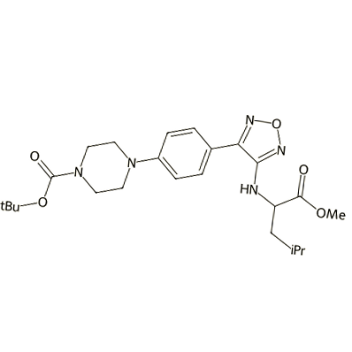 COC(=O)C(CC(C)C)Nc1nonc1-c1ccc(N2CCN(C(=O)OC(C)(C)C)CC2)cc1